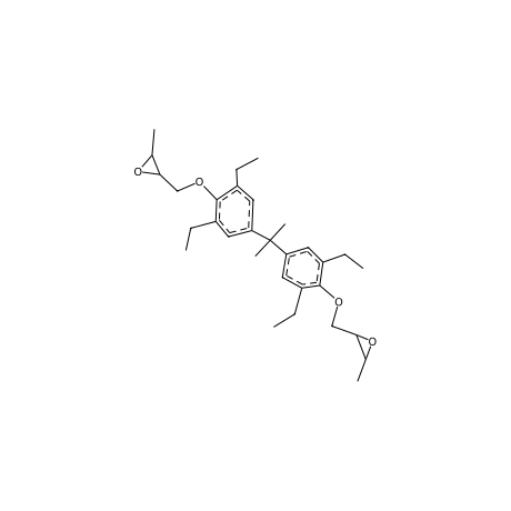 CCc1cc(C(C)(C)c2cc(CC)c(OCC3OC3C)c(CC)c2)cc(CC)c1OCC1OC1C